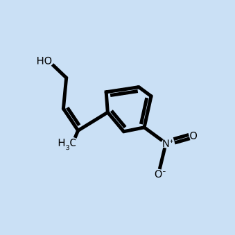 C/C(=C/CO)c1cccc([N+](=O)[O-])c1